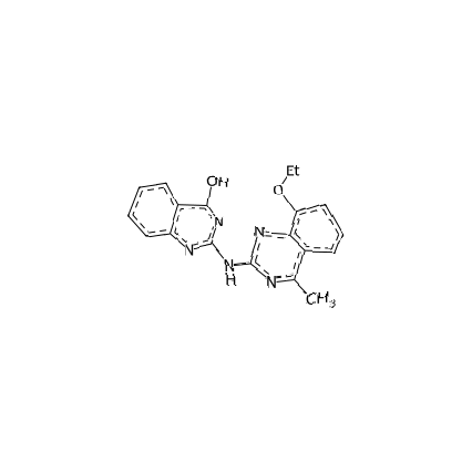 CCOc1cccc2c(C)nc(Nc3nc(O)c4ccccc4n3)nc12